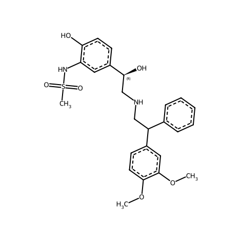 COc1ccc(C(CNC[C@H](O)c2ccc(O)c(NS(C)(=O)=O)c2)c2ccccc2)cc1OC